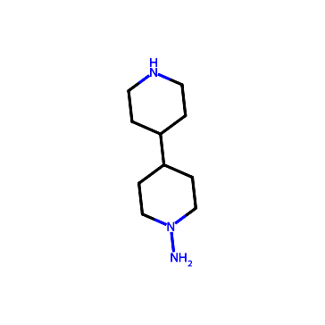 NN1CCC(C2CCNCC2)CC1